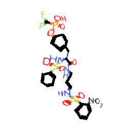 O=C(NCCCNS(=O)(=O)c1ccccc1[N+](=O)[O-])[C@H](Cc1ccc(OP(=O)(O)C(F)F)cc1)NS(=O)(=O)c1ccccc1